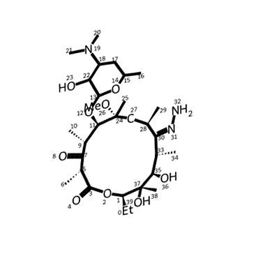 CC[C@H]1OC(=O)[C@H](C)C(=O)[C@H](C)[C@@H](OC2OC(C)CC(N(C)C)C2O)[C@](C)(OC)C[C@@H](C)/C(=N\N)[C@H](C)[C@@H](O)[C@]1(C)O